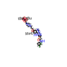 COc1cc2c(Nc3ncc(CC(=O)Nc4cccc(F)c4F)s3)ncnc2cc1OCCCN1CCN(CCOP(=O)(OC(C)(C)C)OC(C)(C)C)CC1